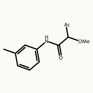 COC(C(C)=O)C(=O)Nc1cccc(C)c1